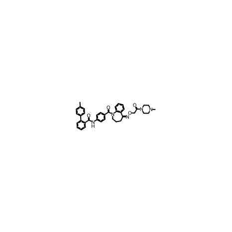 Cc1ccc(-c2ccccc2C(=O)Nc2ccc(C(=O)N3CCC/C(=N/OCC(=O)N4CCN(C)CC4)c4ccccc43)cc2)cc1